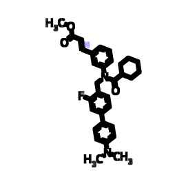 COC(=O)/C=C/c1cccc(N(Cc2ccc(-c3ccc(N(C)C)cc3)cc2F)C(=O)C2CCCCC2)c1